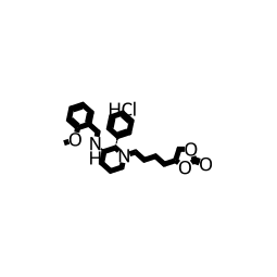 COc1ccccc1CN[C@H]1CCCN(CCCCC2COC(=O)O2)[C@H]1c1ccccc1.Cl